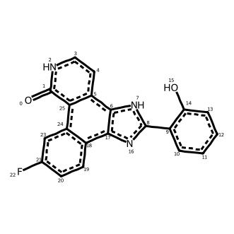 O=c1[nH]ccc2c3[nH]c(-c4ccccc4O)nc3c3ccc(F)cc3c12